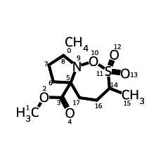 C.COC(=O)C12CCCN1OS(=O)(=O)C(C)CC2